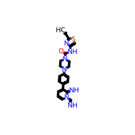 C#Cc1nc(NC(=O)N2CCN(c3ccc(-c4cccn(C=N)c4=N)cc3)CC2)cs1